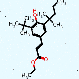 CCCC(C)(C)c1cc(C=CC(=O)OCC)cc(C(C)(C)C)c1O